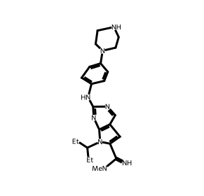 CCC(CC)n1c(C(=N)NC)cc2cnc(Nc3ccc(N4CCNCC4)cc3)nc21